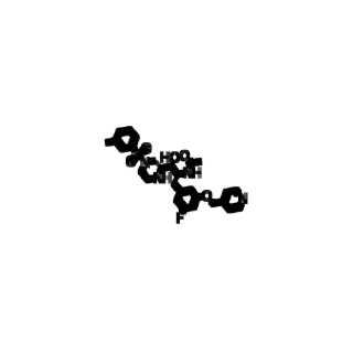 CC(=O)N[C@@H](Cc1cc(F)cc(OCc2ccncc2)c1)[C@H](O)[C@H]1CN(S(=O)(=O)c2cccc(C)c2)CCN1